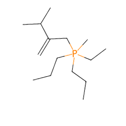 C=C(CP(C)(CC)(CCC)CCC)C(C)C